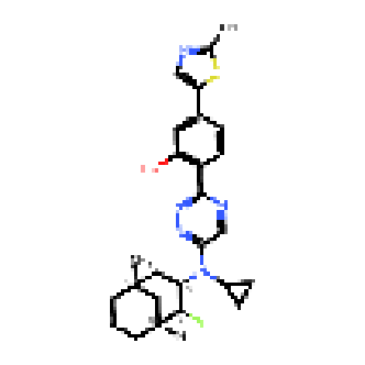 C[C@]12CCC[C@H](C1)[C@H](F)[C@H](N(c1cnc(-c3ccc(-c4cnc(C#N)s4)cc3O)nn1)C1CC1)C2